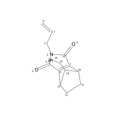 C=CCN1C(=O)C2=C(C1=O)C1CCC2C1CC(C)C